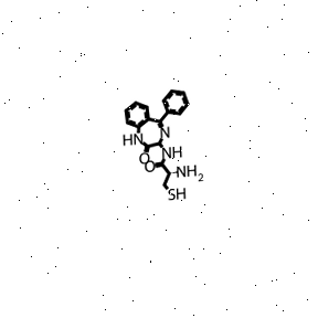 N[C@H](CS)C(=O)NC1N=C(c2ccccc2)c2ccccc2NC1=O